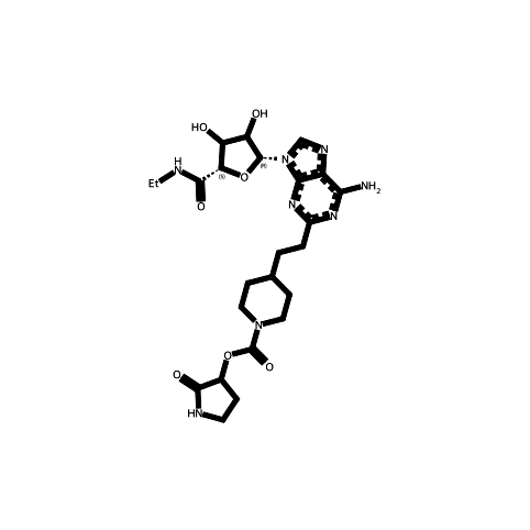 CCNC(=O)[C@H]1O[C@@H](n2cnc3c(N)nc(CCC4CCN(C(=O)OC5CCNC5=O)CC4)nc32)C(O)C1O